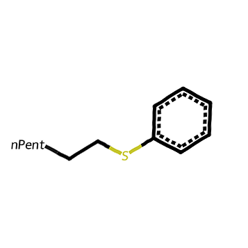 [CH2]CCCCCCSc1ccccc1